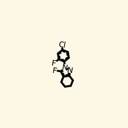 Fc1cc(Cl)ccc1-n1nc2c(c1F)CCCC2